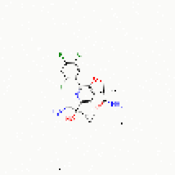 CC1(C(N)=O)COc2c1cc(C(O)(CN)C1CC1)nc2-c1cc(Cl)c(F)cc1F